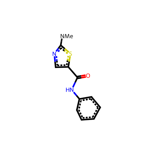 CNc1ncc(C(=O)Nc2ccccc2)s1